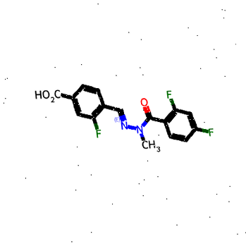 CN(/N=C/c1ccc(C(=O)O)cc1F)C(=O)c1ccc(F)cc1F